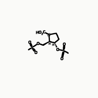 CS(=O)(=O)OC[C@@H]1[C@@H](OS(C)(=O)=O)CCN1C(=O)O